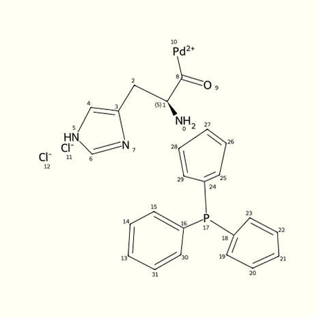 N[C@@H](Cc1c[nH]cn1)[C](=O)[Pd+2].[Cl-].[Cl-].c1ccc(P(c2ccccc2)c2ccccc2)cc1